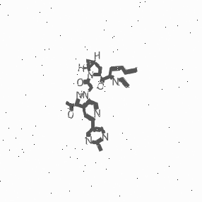 C=C/C=C\C(=N/C=C)C(=O)[C@@H]1C[C@H]2C[C@H]2N1C(=O)Cn1nc(C(C)=O)c2cc(-c3cnc(C)nc3)ncc21